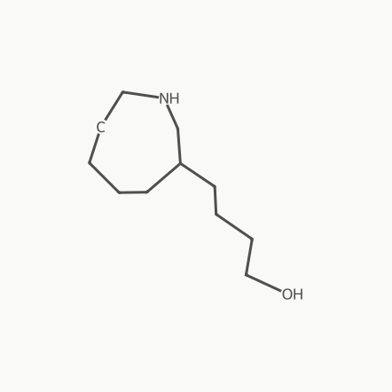 OCCCCC1CCCCCNC1